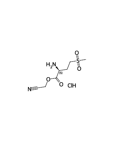 CS(=O)(=O)CC[C@H](N)C(=O)OCC#N.Cl